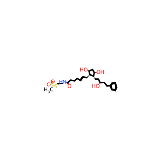 CS(=O)(=O)SCCNC(=O)CCC/C=C/C[C@@H]1[C@@H](CC[C@@H](O)CCc2ccccc2)[C@H](O)C[C@@H]1O